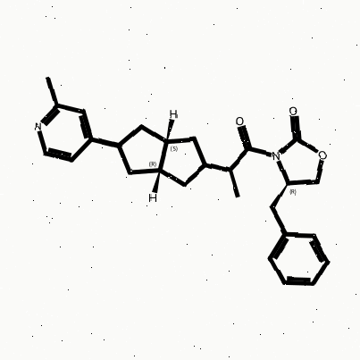 Cc1cc(C2C[C@@H]3CC(C(C)C(=O)N4C(=O)OC[C@H]4Cc4ccccc4)C[C@@H]3C2)ccn1